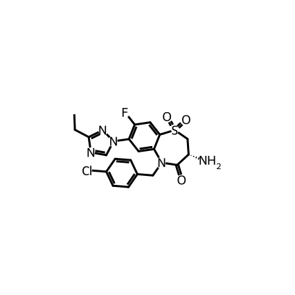 CCc1ncn(-c2cc3c(cc2F)S(=O)(=O)C[C@H](N)C(=O)N3Cc2ccc(Cl)cc2)n1